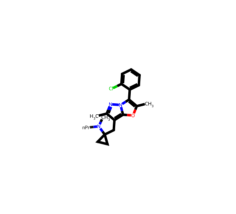 CCCN(C)C1(Cc2c(C)nn3c(-c4ccccc4Cl)c(C)oc23)CC1